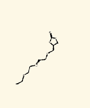 CCOCCOCCOCC1COC(=O)O1